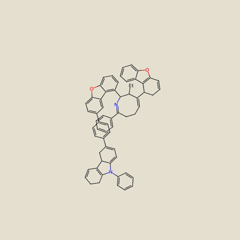 CCC1/C(C2CC=Cc3oc4ccccc4c32)=C\CC/C(c2ccccc2)=N\C1c1cccc2oc3ccc(-c4ccc(C5=CC=C6C(C5)C5=C(CCC=C5)N6c5ccccc5)cc4)cc3c12